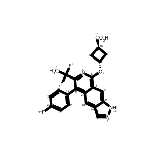 CC(F)(F)c1nc(O[C@H]2C[C@H](C(=O)O)C2)c2cc3[nH]ncc3cc2c1-c1ccc(F)cc1